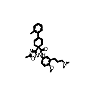 COc1ccc(NC(=O)C2(c3noc(C)n3)C=CC(c3ccccc3C)=CC2)cc1CCCN(C)C